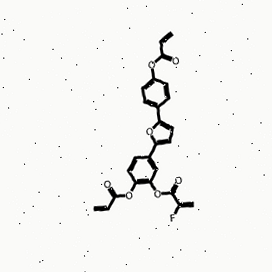 C=CC(=O)Oc1ccc(-c2ccc(-c3ccc(OC(=O)C=C)c(OC(=O)C(=C)F)c3)o2)cc1